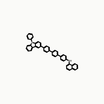 c1ccc(-n2c3ccccc3c3cc(-c4ccc(-c5ccc(-c6ccc(Nc7cccc8ccccc78)cc6)cc5)cc4)ccc32)cc1